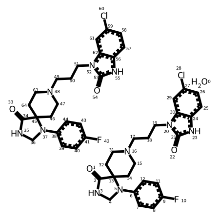 O.O=C1NCN(c2ccc(F)cc2)C12CCN(CCCn1c(=O)[nH]c3ccc(Cl)cc31)CC2.O=C1NCN(c2ccc(F)cc2)C12CCN(CCCn1c(=O)[nH]c3ccc(Cl)cc31)CC2